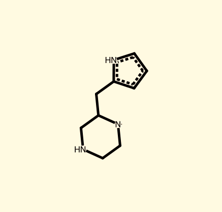 c1c[nH]c(CC2CNCC[N]2)c1